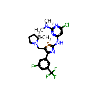 C[C@@H]1CCCN1Cc1sc(Nc2cc(Cl)nc(N(C)C)n2)nc1-c1cc(F)cc(C(F)(F)F)c1